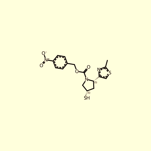 Cc1nc([C@@H]2C[C@H](S)CN2C(=O)OCc2ccc([N+](=O)[O-])cc2)cs1